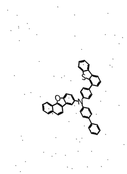 c1ccc(-c2ccc(N(c3ccc(-c4cccc5c4sc4ccccc45)cc3)c3ccc4oc5c6ccccc6ccc5c4c3)cc2)cc1